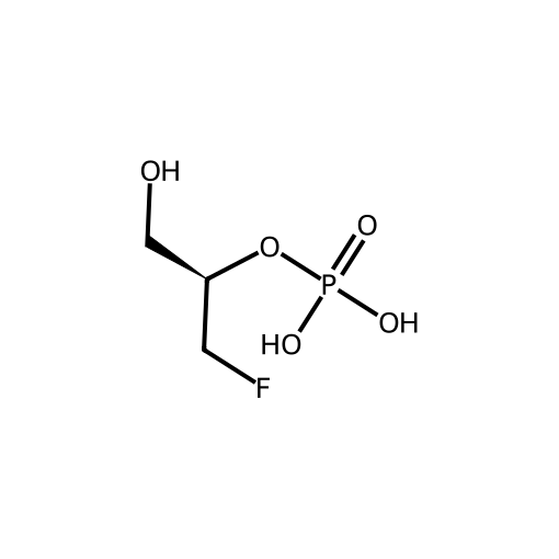 O=P(O)(O)O[C@H](CO)CF